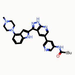 CN1CCN(c2cccc3[nH]c(-c4n[nH]c5ncc(-c6cncc(NC(=O)C(C)(C)C)c6)cc45)cc23)CC1